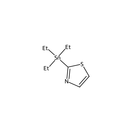 C[CH2][Sn]([CH2]C)([CH2]C)[c]1nccs1